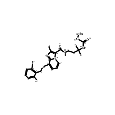 Cc1nc2c(OCc3c(F)cccc3F)cccn2c1C(=O)NCCC(C)(C)NC(=O)OC(C)(C)C